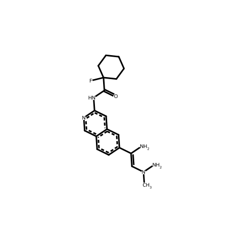 CN(N)/C=C(\N)c1ccc2cnc(NC(=O)C3(F)CCCCC3)cc2c1